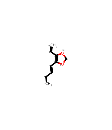 C=CC1=C(/C=C/CC)OCO1